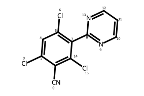 N#Cc1c(Cl)cc(Cl)c(-c2ncccn2)c1Cl